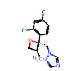 C[C@H]1CO[C@@]1(Cn1cncn1)c1ccc(Cl)cc1Cl